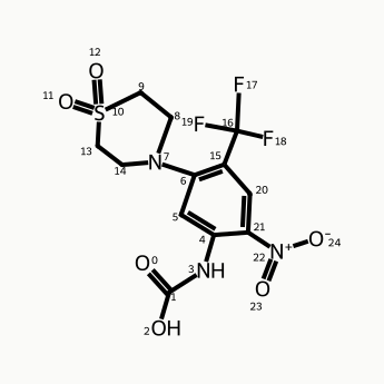 O=C(O)Nc1cc(N2CCS(=O)(=O)CC2)c(C(F)(F)F)cc1[N+](=O)[O-]